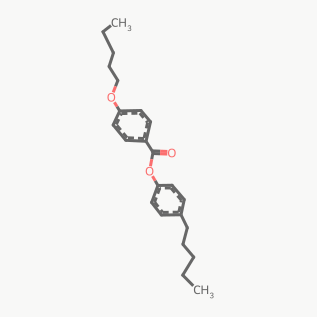 CCCCCOc1ccc(C(=O)Oc2ccc(CCCCC)cc2)cc1